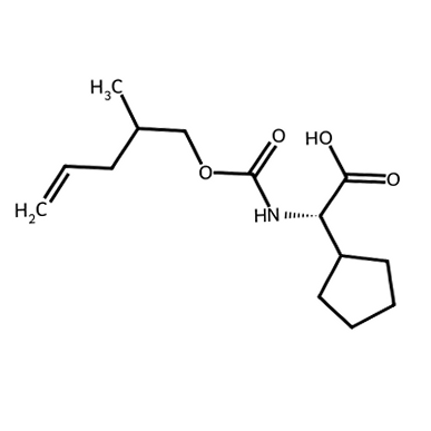 C=CCC(C)COC(=O)N[C@H](C(=O)O)C1CCCC1